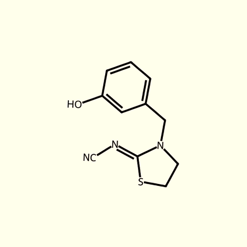 N#CN=C1SCCN1Cc1cccc(O)c1